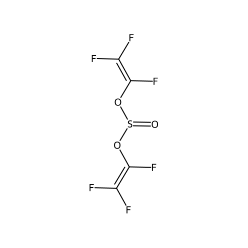 O=S(OC(F)=C(F)F)OC(F)=C(F)F